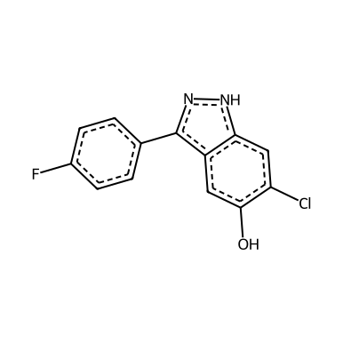 Oc1cc2c(-c3ccc(F)cc3)n[nH]c2cc1Cl